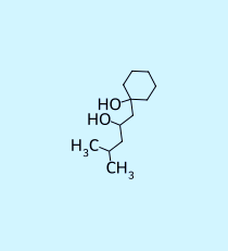 CC(C)CC(O)CC1(O)CCCCC1